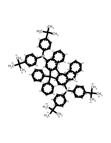 CC(C)(C)c1ccc(N(c2ccc(C(C)(C)C)cc2)c2cc3c(c4ccccc24)-c2c(cc(N(c4ccc(C(C)(C)C)cc4)c4ccc(C(C)(C)C)cc4)c4oc5ccccc5c24)C3(c2ccccc2)c2ccccc2)cc1